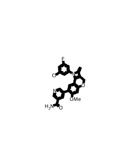 C=C1C2=C(c3cc(-c4cncc(C(N)=O)c4)c(OC)cc3OC2)N1c1cc(F)cc(Cl)c1